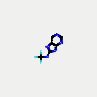 FC(F)(F)Nc1nc2ncncc2[nH]1